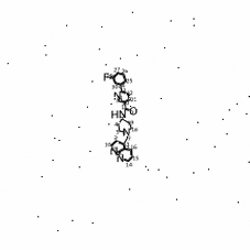 O=C(NC1CCN(Cc2ccnc3ncccc23)CC1)c1ccc(-c2cccc(F)c2)nc1